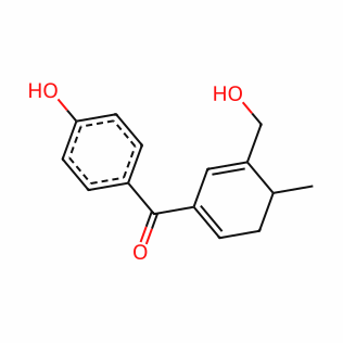 CC1CC=C(C(=O)c2ccc(O)cc2)C=C1CO